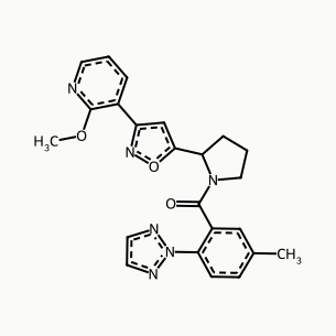 COc1ncccc1-c1cc(C2CCCN2C(=O)c2cc(C)ccc2-n2nccn2)on1